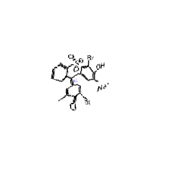 CC1=C/C(=C(/c2cc(C)c(O)c(Br)c2)c2ccccc2S(=O)(=O)[O-])C=C(Br)C1=O.[Na+]